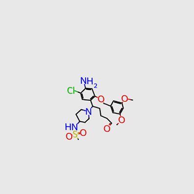 COc1cc(COc2cc(N)c(Cl)cc2C(CCCC=O)N2CCC(NS(C)(=O)=O)CC2)cc(OC)c1